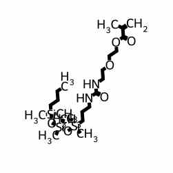 C=C(C)C(=O)OCCOCCNC(=O)NCCC[Si](C)(C)O[Si](C)(C)O[Si](C)(C)CCCC